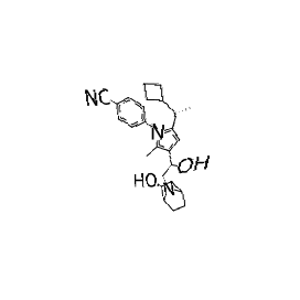 Cc1c(C(O)CN2C3CCC2[C@@H](O)C3)cc([C@@H](C)C2CCC2)n1-c1ccc(C#N)cc1